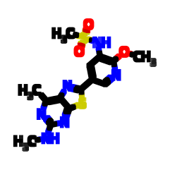 CNc1nc(C)c2nc(-c3cnc(OC)c(NS(C)(=O)=O)c3)sc2n1